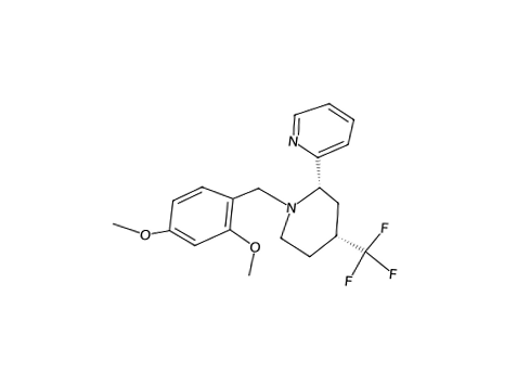 COc1ccc(CN2CC[C@@H](C(F)(F)F)C[C@H]2c2ccccn2)c(OC)c1